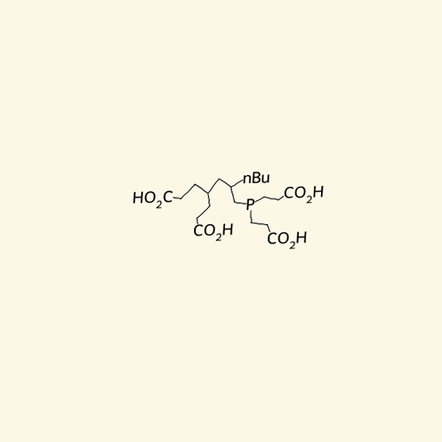 CCCCC(CC(CCC(=O)O)CCC(=O)O)CP(CCC(=O)O)CCC(=O)O